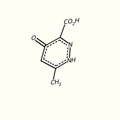 Cc1cc(=O)c(C(=O)O)n[nH]1